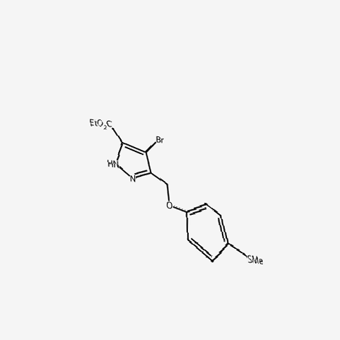 CCOC(=O)c1[nH]nc(COc2ccc(SC)cc2)c1Br